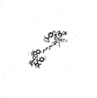 Cc1ncsc1-c1ccc([C@H](C)NC(=O)[C@@H]2C[C@@H](O)CN2C(=O)[C@@H](NC(=O)COCCOCCCOc2ccc([C@H](C)NC(=O)C[C@H]3N=C(c4ccc(Cl)cc4)c4c(sc(C)c4C)-n4c(C)nnc43)cc2)C(C)(C)C)cc1